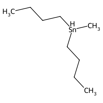 CCC[CH2][SnH]([CH3])[CH2]CCC